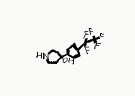 OC1(c2ccc(C(F)(F)C(F)(F)F)cc2)CCNCC1